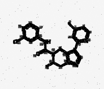 Cc1ccnc(-c2cnn3c2CN(C(=O)Nc2ccnc(Cl)c2)C(C)C3)c1